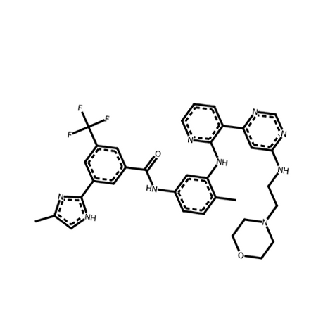 Cc1c[nH]c(-c2cc(C(=O)Nc3ccc(C)c(Nc4ncccc4-c4cc(NCCN5CCOCC5)ncn4)c3)cc(C(F)(F)F)c2)n1